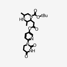 CC1CN(C(=O)OC(C)(C)C)C(CC(=O)Oc2ccc(N3CCC(=O)NC3=O)nc2)C(C)N1